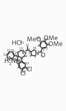 COc1cc(C(=O)N2CCC(C(C)N3CCC(C(N)=O)(c4cccnc4)C(c4ccc(Cl)c(Cl)c4)C3)C2)cc(OC)c1OC.Cl